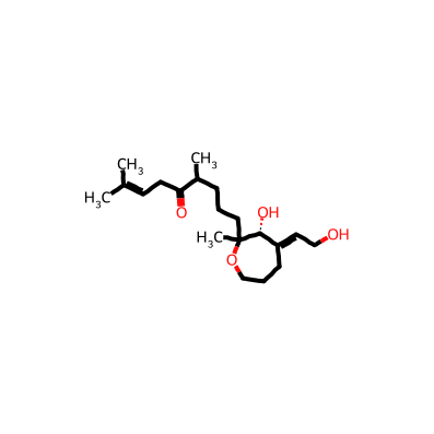 CC(C)=CCC(=O)C(C)CCCC1(C)OCCCC(=CCO)[C@H]1O